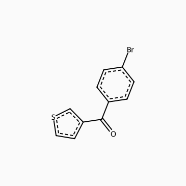 O=C(c1ccc(Br)cc1)c1ccsc1